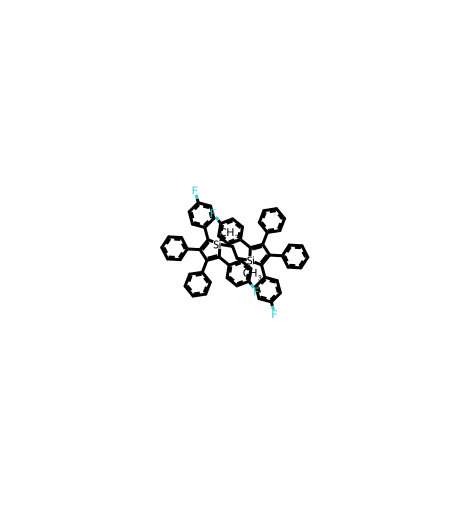 C[Si]1(CC[Si]2(C)C(c3ccc(F)cc3)=C(c3ccccc3)C(c3ccccc3)=C2c2ccc(F)cc2)C(c2ccc(F)cc2)=C(c2ccccc2)C(c2ccccc2)=C1c1ccc(F)cc1